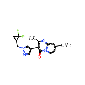 COc1ccn2c(=O)c(-c3cnn(C[C@H]4CC4(F)F)c3)c(C(F)(F)F)nc2c1